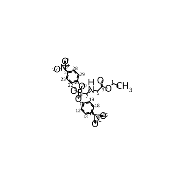 CCOC(=O)CNCP(=O)(Oc1ccc([N+](=O)[O-])cc1)Oc1ccc([N+](=O)[O-])cc1